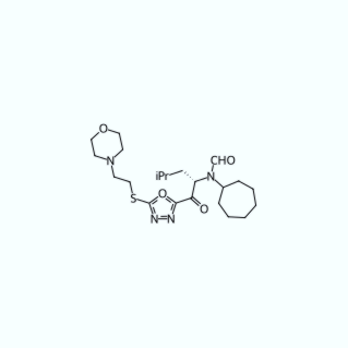 CC(C)C[C@@H](C(=O)c1nnc(SCCN2CCOCC2)o1)N(C=O)C1CCCCCC1